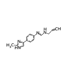 C#CCN/C=N/c1ccc(-c2c[nH]c(C)n2)cc1